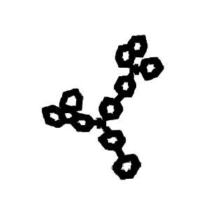 c1ccc(-c2ccc(N(c3ccc(-c4ccc(N(c5ccccc5)c5cccc6ccccc56)cc4)cc3)c3ccc4c(c3)C3(CCCCC3)c3ccccc3-4)cc2)cc1